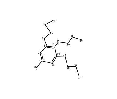 [CH2]c1cc(CCCC)c(CCCC)c(CCCC)c1